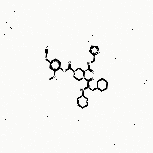 COc1cc(CC#N)ccc1OC(=O)N1CCN(C(=O)[C@@H](CC2CCCCC2)NC2CCCCC2)[C@H](C(=O)NCc2cccs2)C1